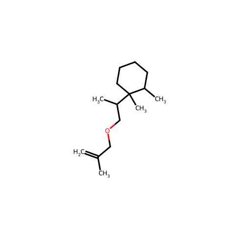 C=C(C)COCC(C)C1(C)CCCCC1C